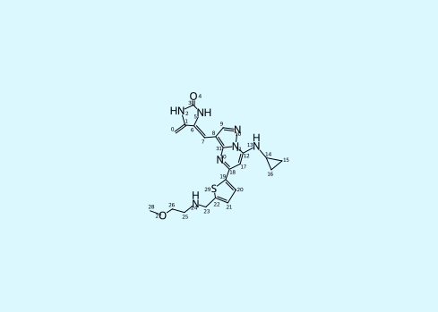 C=c1[nH]c(=O)[nH]/c1=C\c1cnn2c(NC3CC3)cc(-c3ccc(CNCCOC)s3)nc12